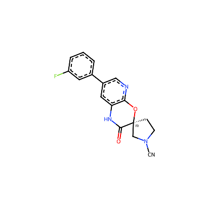 N#CN1CC[C@@]2(C1)Oc1ncc(-c3cccc(F)c3)cc1NC2=O